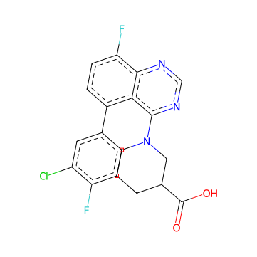 O=C(O)C1CCCN(c2ncnc3c(F)ccc(-c4ccc(F)c(Cl)c4)c23)C1